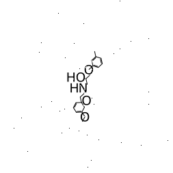 COC1=CC=CC(CCNCC(O)COc2cccc(C)c2)(OC)C1